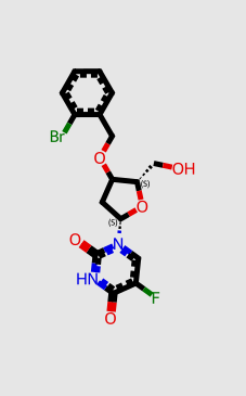 O=c1[nH]c(=O)n([C@@H]2CC(OCc3ccccc3Br)[C@H](CO)O2)cc1F